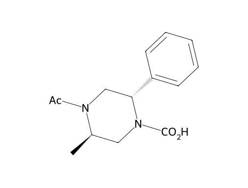 CC(=O)N1C[C@H](c2ccccc2)N(C(=O)O)C[C@H]1C